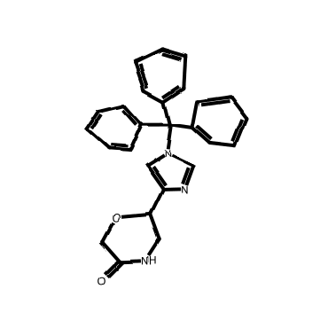 O=C1COC(c2cn(C(c3ccccc3)(c3ccccc3)c3ccccc3)cn2)CN1